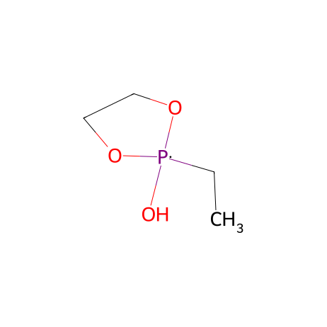 CC[P]1(O)OCCO1